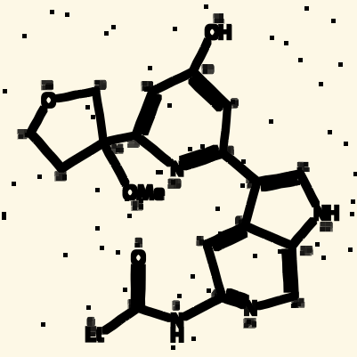 CCC(=O)Nc1cc2c(-c3cc(O)cc(C4(OC)CCOC4)n3)c[nH]c2cn1